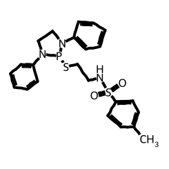 Cc1ccc(S(=O)(=O)NCCSP2N(c3ccccc3)CCN2c2ccccc2)cc1